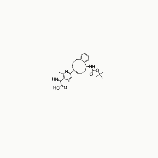 Cc1nc(/C2=C/CC[C@H](NC(=O)OC(C)(C)C)c3ccccc3CCC2)cnc1C(=N)C(=O)O